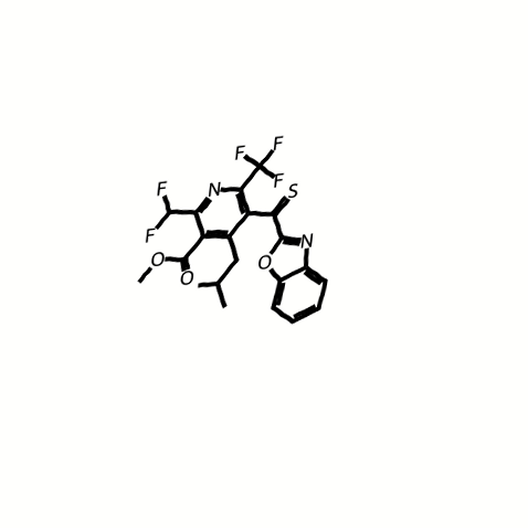 COC(=O)c1c(C(F)F)nc(C(F)(F)F)c(C(=S)c2nc3ccccc3o2)c1CC(C)C